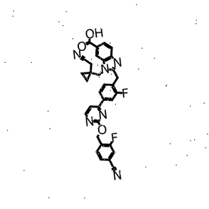 N#CCC1(Cn2c(Cc3ccc(-c4ccnc(OCc5ccc(C#N)cc5F)n4)cc3F)nc3ccc(C(=O)O)cc32)CC1